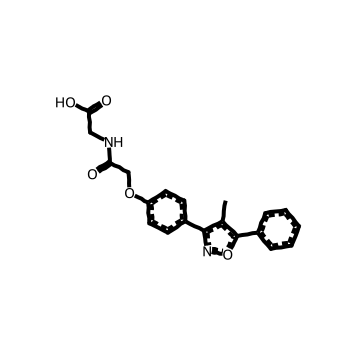 Cc1c(-c2ccc(OCC(=O)NCC(=O)O)cc2)noc1-c1ccccc1